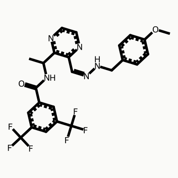 COc1ccc(CN/N=C\c2nccnc2C(C)NC(=O)c2cc(C(F)(F)F)cc(C(F)(F)F)c2)cc1